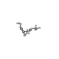 CCCCOCCOc1ccc(-c2ccc3c(c2)/C=C(/C(=O)Nc2ccc(SCCc4[nH]c(CCC)nc4C)cc2)CCCN3CC(C)C)cc1